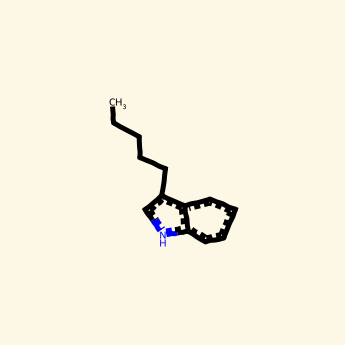 CCCCCc1c[nH]c2ccccc12